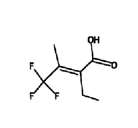 CCC(C(=O)O)=C(C)C(F)(F)F